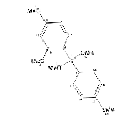 COc1ccc(C(OC)(OC)c2ccc(SC)cc2)c(OC)c1